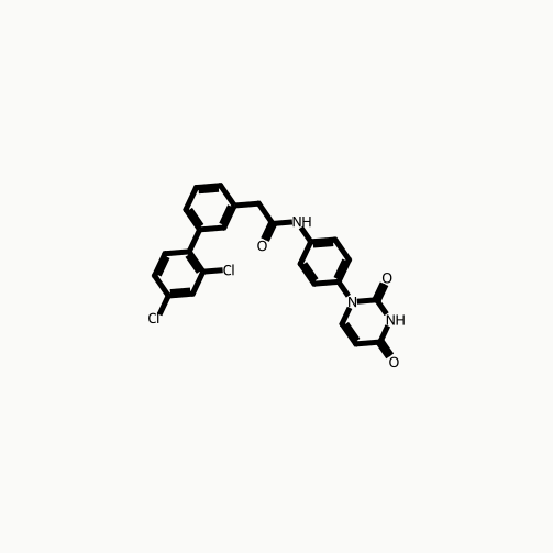 O=C(Cc1cccc(-c2ccc(Cl)cc2Cl)c1)Nc1ccc(-n2ccc(=O)[nH]c2=O)cc1